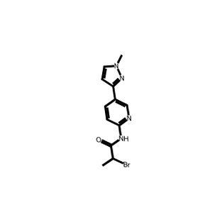 CC(Br)C(=O)Nc1ccc(-c2ccn(C)n2)cn1